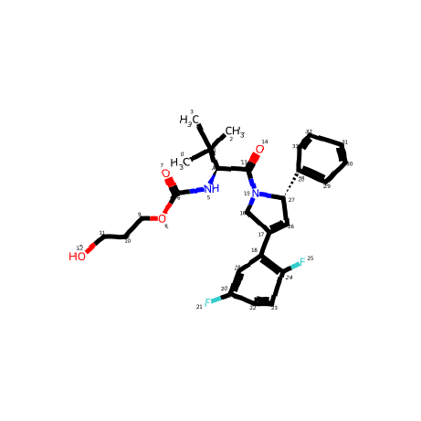 CC(C)(C)[C@H](NC(=O)OCCCO)C(=O)N1CC(c2cc(F)ccc2F)=C[C@H]1c1ccccc1